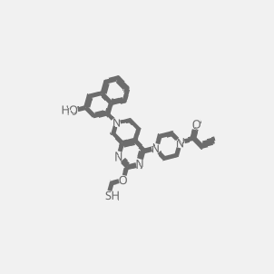 C=CC(=O)N1CCN(c2nc(OCS)nc3c2CCN(c2cc(O)cc4ccccc24)C3)CC1